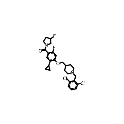 O=C(c1cc(C2CC2)c(OCC2CCN(Cc3c(Cl)cccc3Cl)CC2)cc1F)N1CCC(F)C1